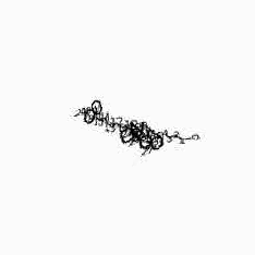 CCCCC[C@@H](C#CCN(CCCCCCC(=O)OCC)S(C)(=O)=O)OC(C)=O